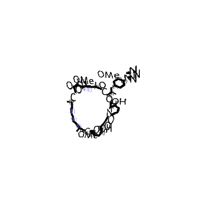 COC1C(=O)C2C[C@H](C)/C=C/C=C/C=C(\C)[C@@H](OC)C[C@@H]3CC[C@@H](C)[C@@](O)(O3)C(=O)C(=O)N3CCCC[C@H]3C(O)O[C@H]([C@H](C)C[C@@H]3CC[C@H](n4cnnn4)[C@H](OC)C3)CC(=O)[C@H](C)/C=C(\C)[C@H]1O2